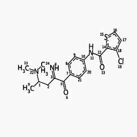 CC(CC(=N)C(=O)c1ccc(NC(=O)c2sccc2Cl)cc1)N(C)C